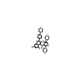 Cc1c(-c2ccc(N3CCOCC3)nc2)nc2cc(F)cc(F)c2c1Nc1cc(N2CCOCC2)cnc1N1CCOCC1